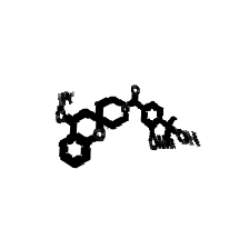 COc1cc(C(=O)N2CCC3(CC2)CC(OC(C)C)c2ccccc2O3)ccc1C(C)(C)O